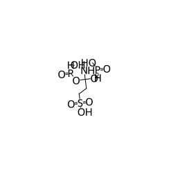 NC(CCS(=O)(=O)O)(O[PH](=O)O)O[PH](=O)O